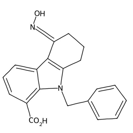 O=C(O)c1cccc2c3c(n(Cc4ccccc4)c12)CCC/C3=N\O